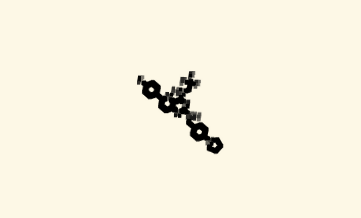 Fc1ccc(-c2ccc3nc(NCc4ccc(N5CCCC5)cc4)nc(NCC(F)(F)F)c3n2)cc1